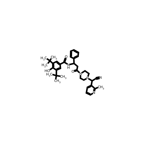 Cc1ncccc1C(C#N)N1CCN(C(=O)CC(NC(=O)c2cc(C(C)(C)C)c(O)c(C(C)(C)C)c2)c2ccccc2)CC1